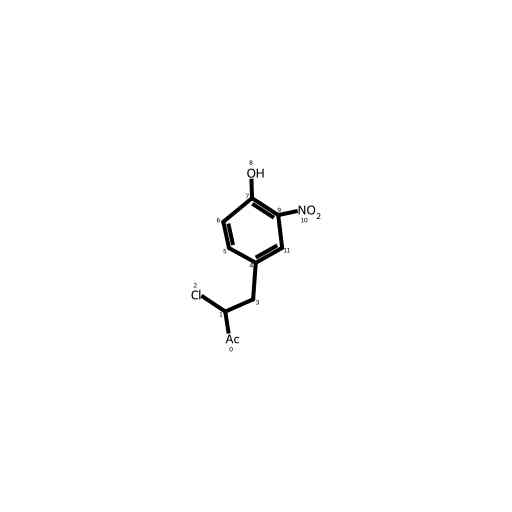 CC(=O)C(Cl)Cc1ccc(O)c([N+](=O)[O-])c1